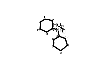 C1CCC(NC2CCCCC2)CC1.OCl